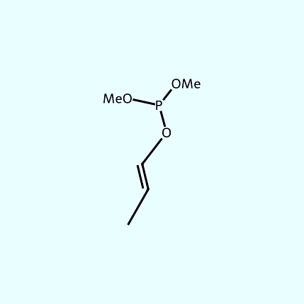 CC=COP(OC)OC